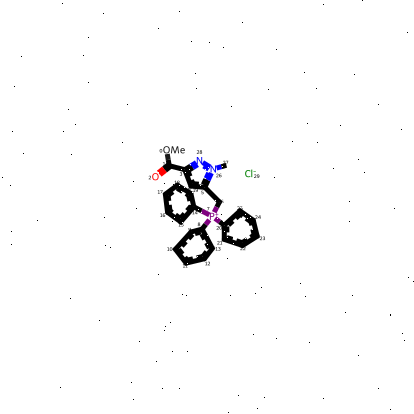 COC(=O)c1cc(C[P+](c2ccccc2)(c2ccccc2)c2ccccc2)n(C)n1.[Cl-]